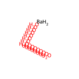 O.O.O.O.O.O.O.O.O.O.O.O.O.O.O.O.[BaH2]